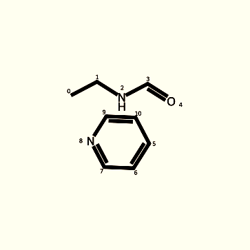 CCNC=O.c1ccncc1